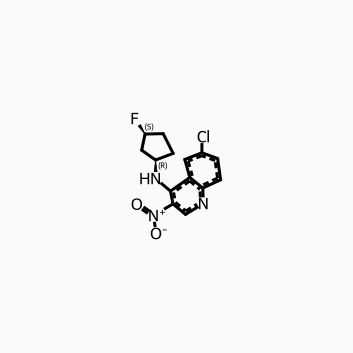 O=[N+]([O-])c1cnc2ccc(Cl)cc2c1N[C@@H]1CC[C@H](F)C1